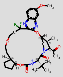 COc1ccc2nc3c(nc2c1)O[C@H]1CN(C(=O)[C@H](C(C)(C)C)NC(=O)O[C@@H]2CCC[C@H]2CCOCCC3(F)F)[C@H](C(C)=O)[C@@H]1C